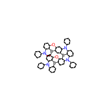 c1ccc(N2c3ccccc3B3c4cc5c(cc4Oc4cccc2c43)N(c2ccccc2)c2cccc3c2B5c2c(ccc4c2Oc2cccc5c2B4c2ccccc2N5c2ccccc2)N3c2ccccc2)cc1